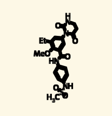 CCc1cc(N2C(=O)CCNC2=O)cc(C(=O)Nc2ccc(NS(C)(=O)=O)cc2)c1OC